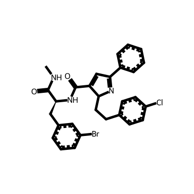 CNC(=O)[C@H](Cc1cccc(Br)c1)NC(=O)C1=CC(c2ccccc2)=NC1CCc1ccc(Cl)cc1